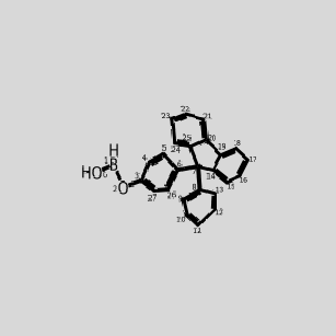 OBOc1ccc(C2(c3ccccc3)c3ccccc3-c3ccccc32)cc1